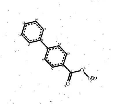 CCCCOC(=O)c1ccc(-c2cc[c]cc2)cc1